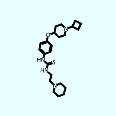 S=C(NCCN1CCCCC1)Nc1ccc(OC2CCN(C3CCC3)CC2)cc1